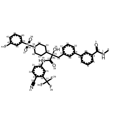 CNC(=O)c1cccc(-c2cccc(C[C@](O)(C(=O)Nc3ccc(C#N)c(C(F)(F)F)c3)C3CCN(S(=O)(=O)c4cccc(F)c4)CC3)c2)c1